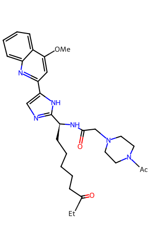 CCC(=O)CCCCC[C@H](NC(=O)CN1CCN(C(C)=O)CC1)c1ncc(-c2cc(OC)c3ccccc3n2)[nH]1